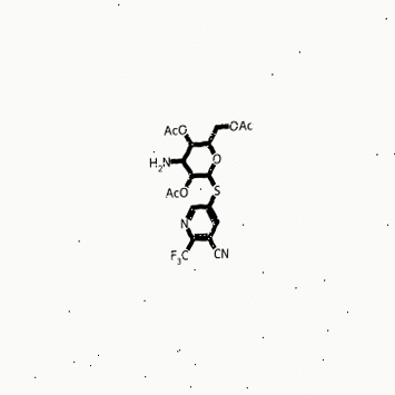 CC(=O)OCC1OC(Sc2cnc(C(F)(F)F)c(C#N)c2)C(OC(C)=O)C(N)C1OC(C)=O